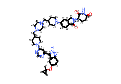 CC1(Oc2ccc3n[nH]c(-c4cc(N5CCC(CN6CCN(CC7CCN(c8ccc9c(c8)CN(C8CCC(=O)NC8=O)C9=O)CC7)CC6)CC5)ncn4)c3c2)CC1